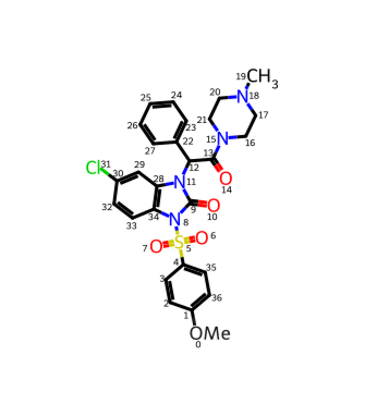 COc1ccc(S(=O)(=O)n2c(=O)n(C(C(=O)N3CCN(C)CC3)c3ccccc3)c3cc(Cl)ccc32)cc1